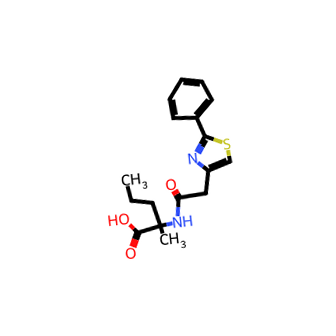 CCCC(C)(NC(=O)Cc1csc(-c2ccccc2)n1)C(=O)O